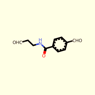 O=CCCNC(=O)c1ccc(C=O)cc1